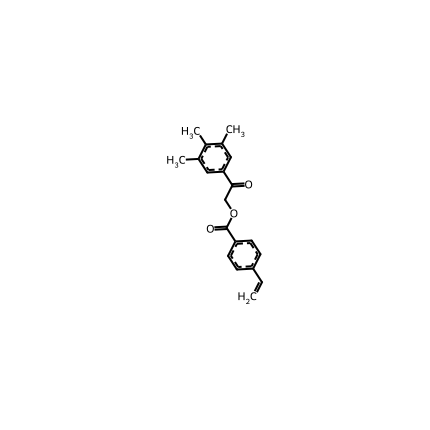 C=Cc1ccc(C(=O)OCC(=O)c2cc(C)c(C)c(C)c2)cc1